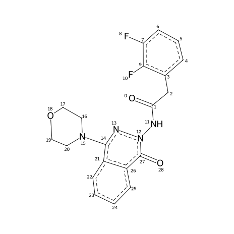 O=C(Cc1cccc(F)c1F)Nn1nc(N2CCOCC2)c2ccccc2c1=O